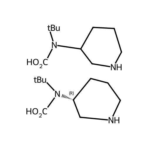 CC(C)(C)N(C(=O)O)C1CCCNC1.CC(C)(C)N(C(=O)O)[C@@H]1CCCNC1